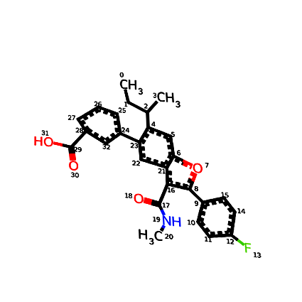 CCC(C)c1cc2oc(-c3ccc(F)cc3)c(C(=O)NC)c2cc1-c1cccc(C(=O)O)c1